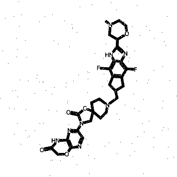 CN1CCOC(c2nc3c(F)c4c(c(F)c3[nH]2)CC(CN2CCC3(CC2)CN(c2cnc5c(n2)NC(=O)CO5)C(=O)O3)C4)C1